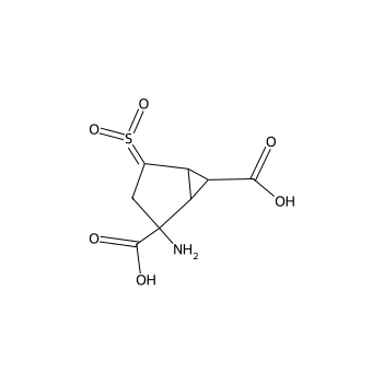 NC1(C(=O)O)CC(=S(=O)=O)C2C(C(=O)O)C21